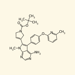 Cc1cccc(Oc2ccc(-c3c(C4=CCN(C(=O)OC(C)(C)C)C4)n(C)c4ncnc(N)c34)cc2)n1